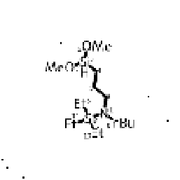 CCCCN(CCC[SiH](OC)OC)[Si](CC)(CC)CC